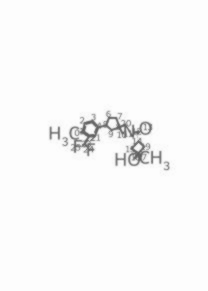 Cc1ccc(C2CCC3(C2)CN(C(=O)[C@H]2C[C@@](C)(O)C2)C3)cc1C(F)F